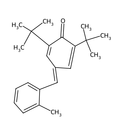 Cc1ccccc1C=C1C=C(C(C)(C)C)C(=O)C(C(C)(C)C)=C1